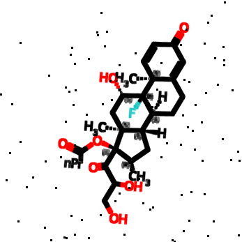 CCCC(=O)O[C@]1(C(=O)C(O)CO)[C@H](C)C[C@H]2[C@@H]3CCC4=CC(=O)C=C[C@]4(C)[C@@]3(F)[C@@H](O)C[C@@]21C